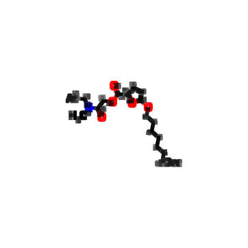 CCCCCCCCCCCCCCCCOc1ccc(C(=O)OCC(=O)N(C)CC(C)=O)o1